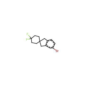 FC1(F)CCC2(CC1)Cc1ccc(Br)cc1C2